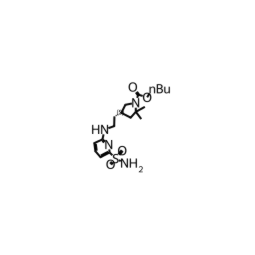 CCCCOC(=O)N1C[C@@H](CCNc2cccc(S(N)(=O)=O)n2)CC1(C)C